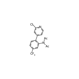 CC(=O)N(C(C)=O)c1cc(C(F)(F)F)ccc1-c1ccnc(Cl)c1